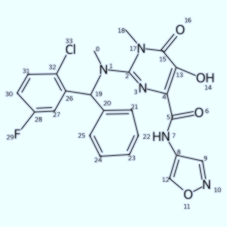 CN(c1nc(C(=O)Nc2cnoc2)c(O)c(=O)n1C)C(c1ccccc1)c1cc(F)ccc1Cl